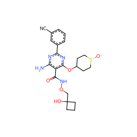 N#Cc1cccc(-c2nc(N)c(C(=O)NOCC3(O)CCC3)c(OC3CC[S+]([O-])CC3)n2)c1